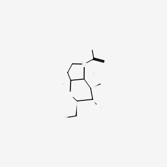 NC[C@H]1O[C@H]2CCN(C(=O)C(F)(F)F)[C@H]2[C@@H](O)[C@H]1O